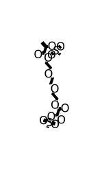 C=C(OS(C)(=O)=O)C(=O)OCCOCCOCCOC(=O)C(=O)OS(C)(=O)=O